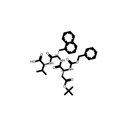 CC(C)[C@H](NC(=O)[C@H](Cc1cccc2ccccc12)NC(=O)[C@H](CC(=O)OC(C)(C)C)NC(=O)OCc1ccccc1)C(=O)O